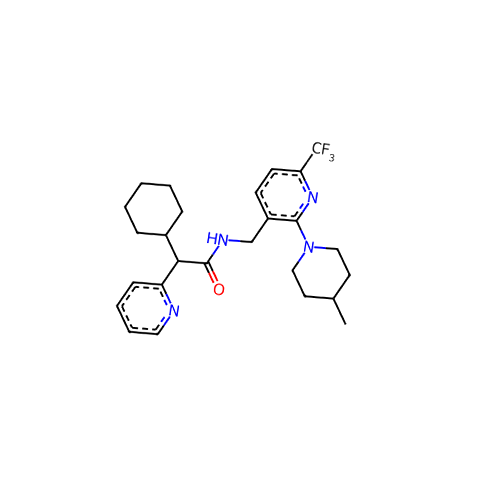 CC1CCN(c2nc(C(F)(F)F)ccc2CNC(=O)C(c2ccccn2)C2CCCCC2)CC1